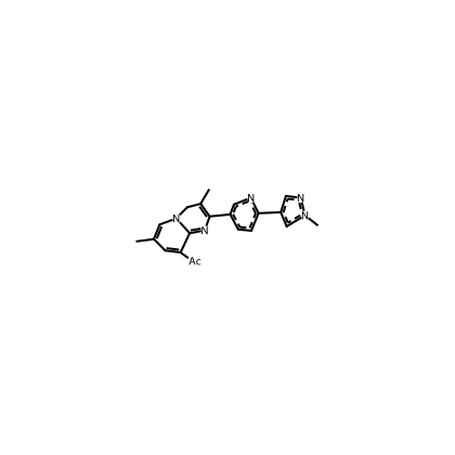 CC(=O)C1=CC(C)=CN2CC(C)=C(c3ccc(-c4cnn(C)c4)nc3)N=C12